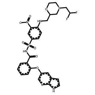 O=C(NS(=O)(=O)c1ccc(NCC2CN(CC(F)F)CCO2)c([N+](=O)[O-])c1)c1ccccc1Oc1cnc2[nH]ccc2c1